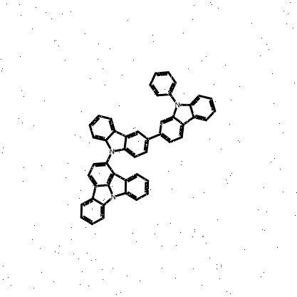 c1ccc(-n2c3ccccc3c3ccc(-c4ccc5c(c4)c4ccccc4n5-c4ccc5c6ccccc6n6c7ccccc7c4c56)cc32)cc1